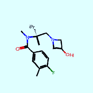 Cc1cc(C(=O)N(C)[C@](C)(CN2CC(O)C2)C(C)C)ccc1F